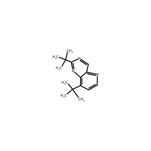 CC(C)(C)c1ncc2nccc(C(C)(C)C)c2n1